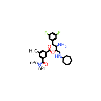 CCCN(CCC)C(=O)c1cc(C)cc(C(=O)OC(CNC2CCCCCC2)C(N)Cc2cc(F)cc(F)c2)c1